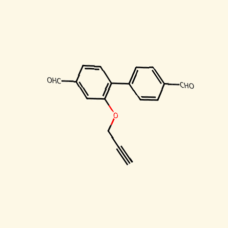 C#CCOc1cc(C=O)ccc1-c1ccc(C=O)cc1